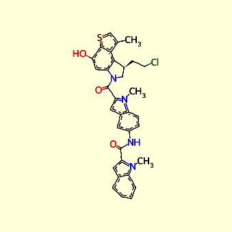 Cc1csc2c(O)cc3c(c12)[C@@H](CCCl)CN3C(=O)c1cc2cc(NC(=O)c3cc4ccccc4n3C)ccc2n1C